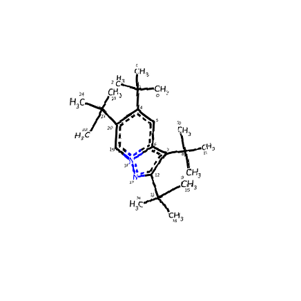 CC(C)(C)c1cc2c(C(C)(C)C)c(C(C)(C)C)nn2cc1C(C)(C)C